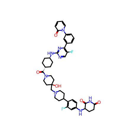 O=C1CCC(Nc2ccc(C3CCN(CC4(O)CCN(C(=O)[C@H]5CC[C@H](Nc6ncc(F)c(-c7cccc(-n8ccccc8=O)c7)n6)CC5)CC4)CC3)c(F)c2)C(=O)N1